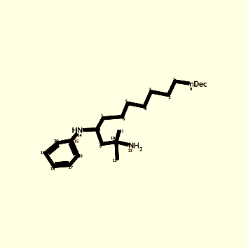 CCCCCCCCCCCCCCCCCC(CC(C)(C)N)Nc1ccccc1